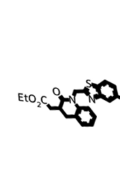 CCOC(=O)CC1Cc2ccccc2N(Cc2nc3cc(F)ccc3s2)C1=O